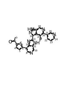 CC(=O)c1ccc(-c2cncc3[nH]c(-c4n[nH]c5cnc(-c6cccnc6)c(F)c45)nc23)s1